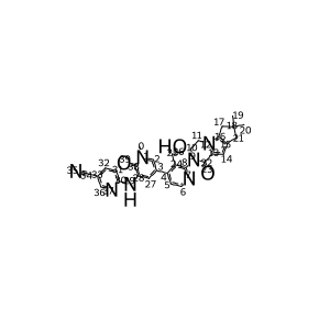 Cn1cc(-c2ccnc(N3CCn4c(cc5c4CC(C)(C)C5)C3=O)c2CO)cc(Nc2ccc(C#N)cn2)c1=O